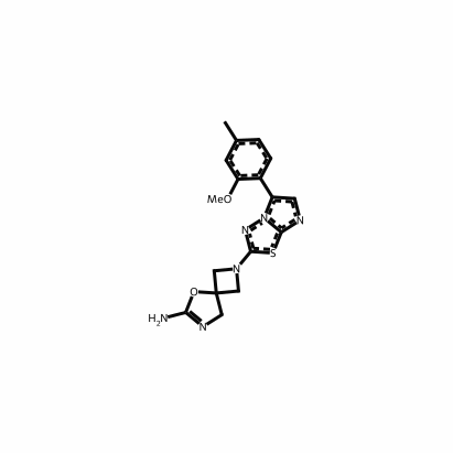 COc1cc(C)ccc1-c1cnc2sc(N3CC4(CN=C(N)O4)C3)nn12